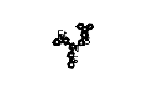 CCn1c2ccccc2c2cc(-c3cc(-c4ccc5c(c4)sc4ccccc45)nc(-c4ccc5sc6cc7c8ccccc8c8ccccc8c7cc6c5c4)c3)ccc21